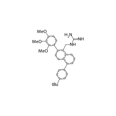 COc1ccc(-c2ccc3c(-c4ccc(C(C)(C)C)cc4)cccc3c2CNC(=N)N)c(OC)c1OC